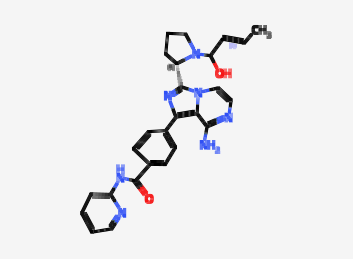 C/C=C/C(O)N1CCC[C@H]1c1nc(-c2ccc(C(=O)Nc3ccccn3)cc2)c2c(N)nccn12